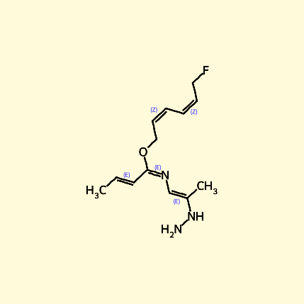 C/C=C/C(=N\C=C(/C)NN)OC/C=C\C=C/CF